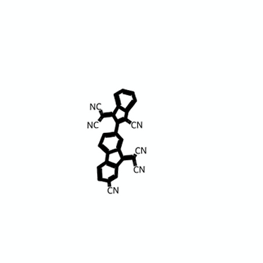 N#CC(C#N)=C1C(c2ccc3c(c2)C(=C(C#N)C#N)c2cc(C#N)ccc2-3)=C(C#N)c2ccccc21